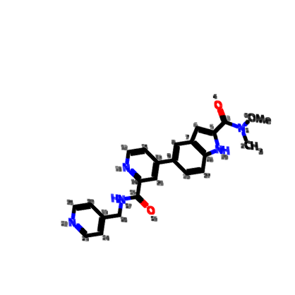 CON(C)C(=O)c1cc2cc(-c3ccnc(C(=O)NCc4ccncc4)c3)ccc2[nH]1